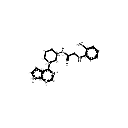 CCCc1ccccc1NCC(=O)N[C@@H]1CCCN(c2ncnc3[nH]ccc23)C1